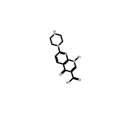 CCC(=O)c1cn(CC)c2nc(N3CCNCC3)ccc2c1=O